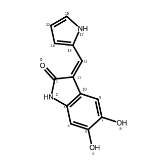 O=C1Nc2cc(O)c(O)cc2/C1=C/c1ccc[nH]1